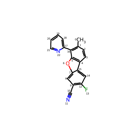 Cc1ccc2c(oc3cc(C#N)c(F)cc32)c1-c1ccccn1